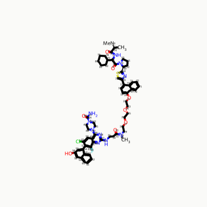 CN[C@@H](C)C(=O)NC(C(=O)N1CCC[C@H]1c1nc(-c2ccc(OCCOCCOCCN(C)C(=O)CCNc3nc(N4CCN(C(N)=O)CC4)c4cc(Cl)c(-c5cc(O)cc6ccccc56)c(F)c4n3)c3ccccc23)cs1)C1CCCCC1